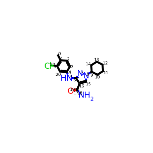 Cc1ccc(Nc2nn(C3CCCCC3)cc2C(N)=O)cc1Cl